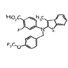 Cc1c(N(Cc2ccc(OC(F)(F)F)cc2)c2ccc(C(=O)O)c(F)c2)sc2ccccc12